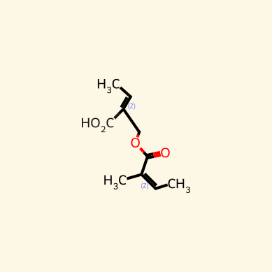 C/C=C(/C)C(=O)OC/C(=C/C)C(=O)O